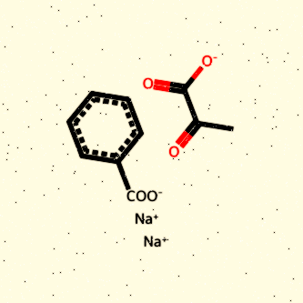 CC(=O)C(=O)[O-].O=C([O-])c1ccccc1.[Na+].[Na+]